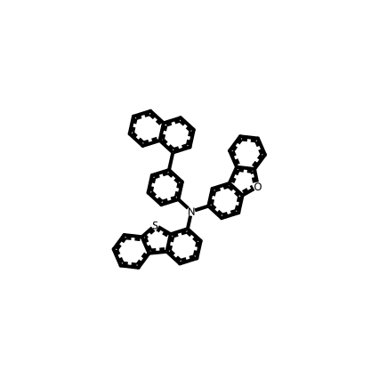 c1cc(-c2cccc3ccccc23)cc(N(c2ccc3oc4ccccc4c3c2)c2cccc3c2sc2ccccc23)c1